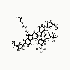 CCCCCCCCC1(C)c2cc(-c3ccc(C=O)s3)ccc2-c2cc3c(cc21)-c1ccc(-c2ccc(C=O)s2)cc1C3(c1ccc(C(C)(C)C)cc1)c1ccc(C(C)(C)C)cc1